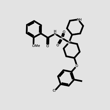 COc1ccccc1C(=O)NS(=O)(=O)[N+]1(C2CCNCC2)CCC(Oc2ccc(Cl)cc2C)CC1